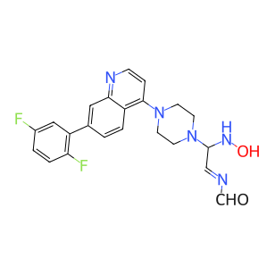 O=CN=CC(NO)N1CCN(c2ccnc3cc(-c4cc(F)ccc4F)ccc23)CC1